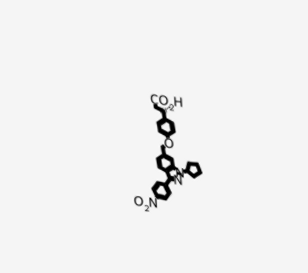 C[C@@H](CC(=O)O)c1ccc(OCc2ccc3c(-c4ccc([N+](=O)[O-])cc4)nn(C4CCCC4)c3c2)cc1